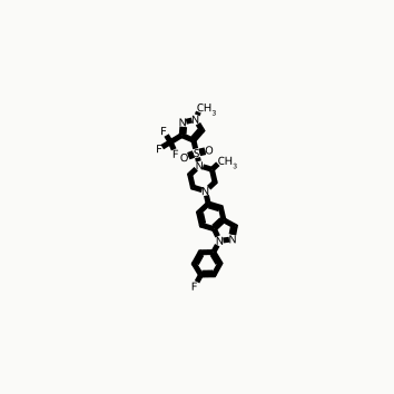 CC1CN(c2ccc3c(cnn3-c3ccc(F)cc3)c2)CCN1S(=O)(=O)c1cn(C)nc1C(F)(F)F